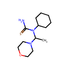 CC(N1CCOCC1)N(C(N)=S)C1CCCCC1